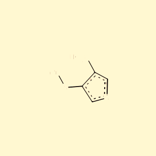 CCCSc1cscc1C(=O)O